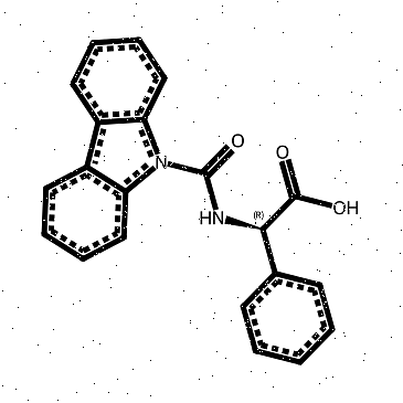 O=C(O)[C@H](NC(=O)n1c2ccccc2c2ccccc21)c1ccccc1